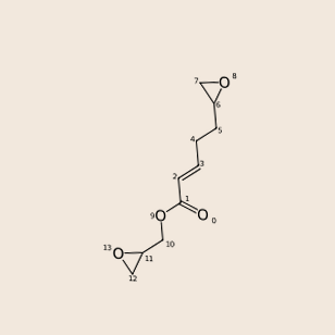 O=C(C=CCCC1CO1)OCC1CO1